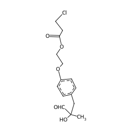 CC(O)(C=O)Cc1ccc(OCCOC(=O)CCCl)cc1